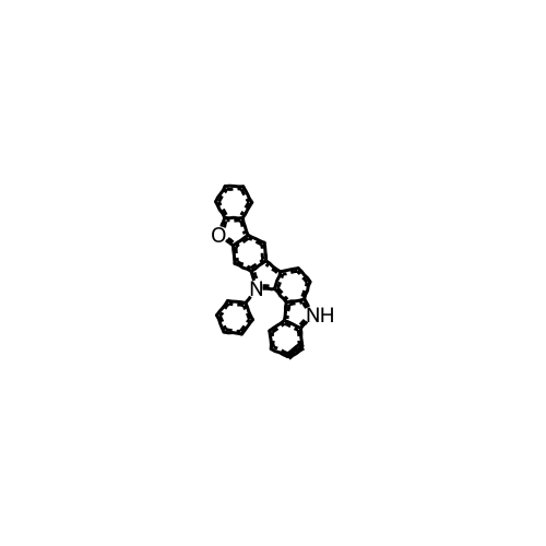 c1ccc2c(c#1)[nH]c1ccc3c4cc5c(cc4n(-c4ccccc4)c3c12)oc1ccccc15